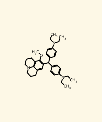 CCN(CC)c1ccc(C(c2ccc(N(CC)CC)cc2)c2cc3c4c(c2OC)CCCN4CCC3)cc1